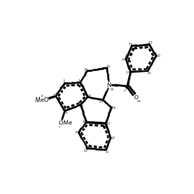 COc1cc2c3c(c1OC)-c1ccccc1CC3N(C(=O)c1ccccc1)CC2